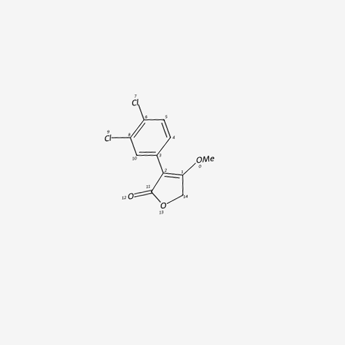 COC1=C(c2ccc(Cl)c(Cl)c2)C(=O)OC1